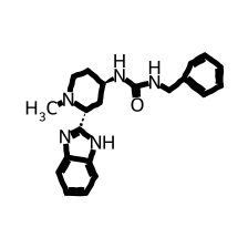 CN1CC[C@@H](NC(=O)NCc2ccccc2)C[C@@H]1c1nc2ccccc2[nH]1